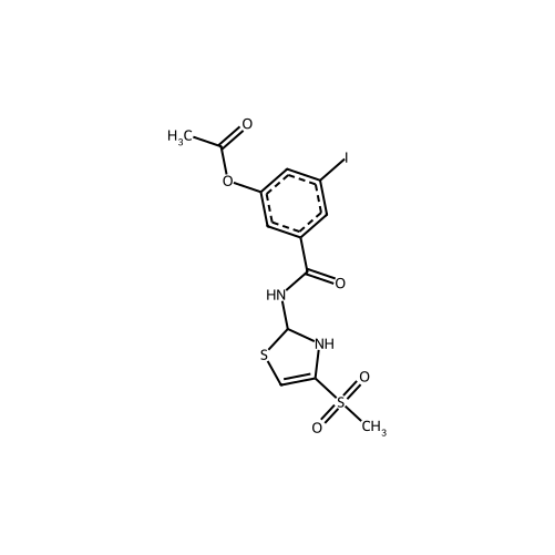 CC(=O)Oc1cc(I)cc(C(=O)NC2NC(S(C)(=O)=O)=CS2)c1